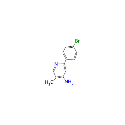 Cc1cnc(-c2ccc(Br)cc2)cc1N